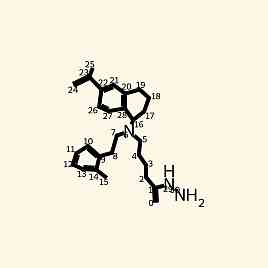 C=C(CCCCN(CCc1ccccc1C)C1CCCc2cc(C(=C)C)ccc21)NN